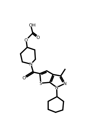 Cc1nn(C2CCCCC2)c2sc(C(=O)N3CCC(OC(=O)O)CC3)cc12